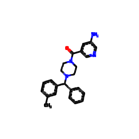 Cc1cccc(C(c2ccccc2)N2CCN(C(=O)c3cncc(N)c3)CC2)c1